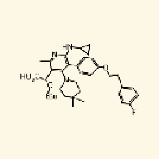 Cc1nc(NC2CC2)c(-c2ccc(OCCc3ccc(F)cc3)cc2)c(N2CCC(C)(C)CC2)c1C(OC(C)(C)C)C(=O)O